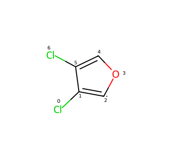 Clc1[c]occ1Cl